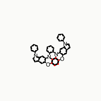 c1ccc(-n2ccc3cc4c(cc32)N(c2ccccc2N2c3ccccc3Oc3cc5ccn(-c6ccccc6)c5cc32)c2ccccc2O4)cc1